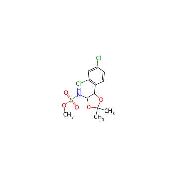 COS(=O)(=O)NC1OC(C)(C)OC1c1ccc(Cl)cc1Cl